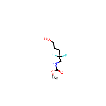 CC(C)(C)OC(=O)NCC(F)(F)CCCO